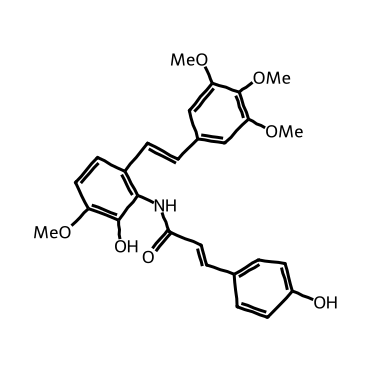 COc1ccc(/C=C/c2cc(OC)c(OC)c(OC)c2)c(NC(=O)/C=C/c2ccc(O)cc2)c1O